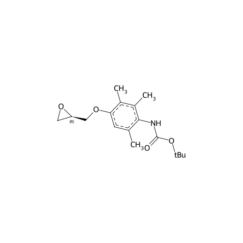 Cc1cc(OC[C@H]2CO2)c(C)c(C)c1NC(=O)OC(C)(C)C